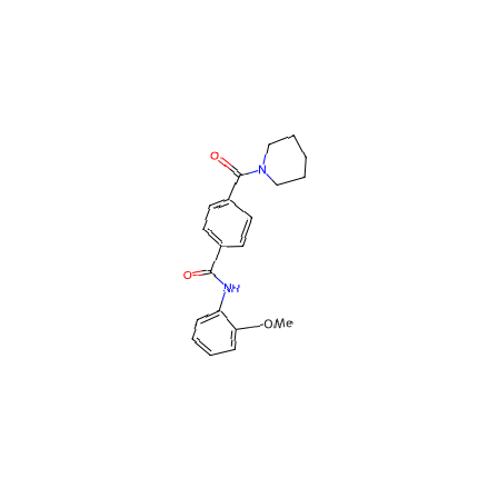 COc1ccccc1NC(=O)c1ccc(C(=O)N2CCCCC2)cc1